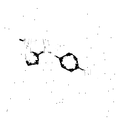 CNn1nccc1NS(=O)(=O)c1ccc(N)cc1